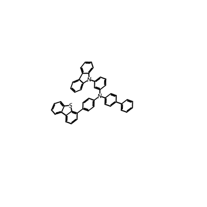 c1ccc(-c2ccc(N(c3ccc(-c4cccc5c4sc4ccccc45)cc3)c3cccc(-n4c5ccccc5c5ccccc54)c3)cc2)cc1